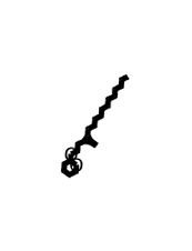 C=C1C(CCCCCCCCCCCC)C1CCOC1CCCCO1